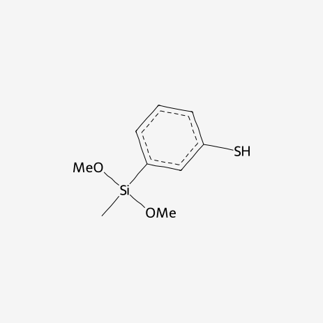 CO[Si](C)(OC)c1cccc(S)c1